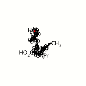 CC#CCCCC(C)(I)SC1CC(=O)N(CCC(=O)N[C@H](CCC(C)C)C(=O)N[C@@H](C)C(=O)N[C@@H](CCC(=O)O)C(=O)Nc2ccc(COC(=O)NCc3c4c(nc5cc6c(cc35)OCO6)-c3cc5c(c(=O)n3C4)COC(=O)[C@]5(O)CC)cc2)C1=O